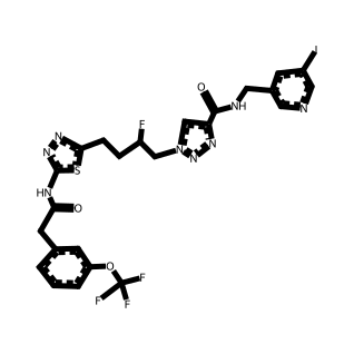 O=C(Cc1cccc(OC(F)(F)F)c1)Nc1nnc(CCC(F)Cn2cc(C(=O)NCc3cncc(I)c3)nn2)s1